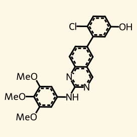 COc1cc(Nc2ncc3cc(-c4cc(O)ccc4Cl)ccc3n2)cc(OC)c1OC